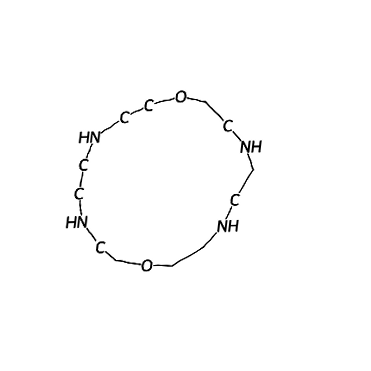 C1CNCCOCCNCCNCCOCCN1